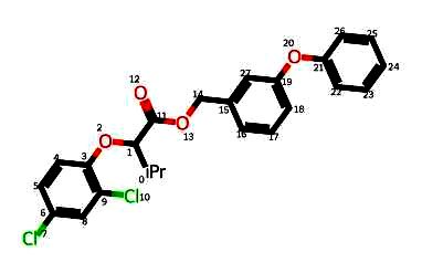 CC(C)C(Oc1ccc(Cl)cc1Cl)C(=O)OCc1cccc(Oc2ccccc2)c1